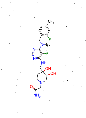 CCN(Cc1ccc(C(F)(F)F)cc1F)c1ncnc(NC[C@@]2(O)CCN(CC(N)=O)C[C@@H]2O)c1F